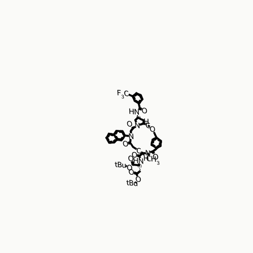 CN1C(=O)c2ccc(cc2)OC[C@@H]2C[C@@H](NC(=O)c3cccc(C(F)(F)F)c3)CN2C(=O)CN(c2ccc3ccccc3c2)C(=O)CC[C@H]1C(=O)N[C@H](CC(=O)OC(C)(C)C)C(=O)OC(C)(C)C